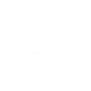 C=C(C)c1ccc(OC(=O)OC(C)(C)C)cc1